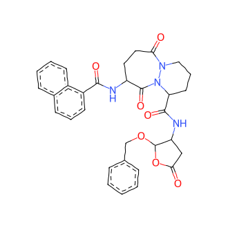 O=C1CC(NC(=O)C2CCCN3C(=O)CCC(NC(=O)c4cccc5ccccc45)C(=O)N23)C(OCc2ccccc2)O1